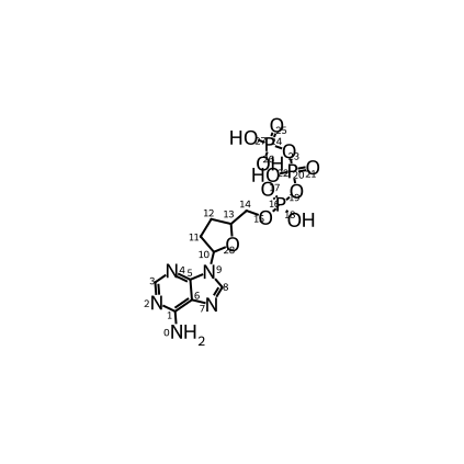 Nc1ncnc2c1ncn2C1CCC(COP(=O)(O)OP(=O)(O)OP(=O)(O)O)O1